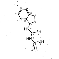 CC(O)NC(S)NC1CCc2ccccc21